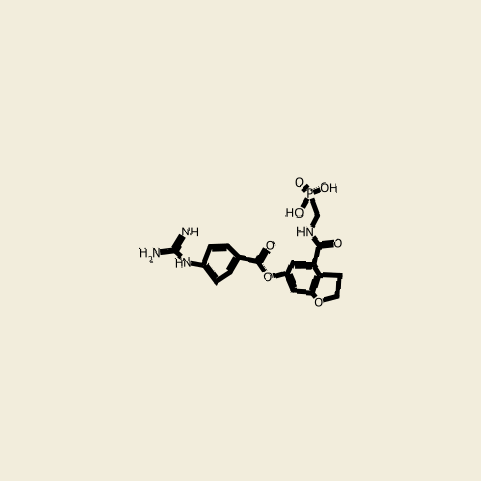 N=C(N)Nc1ccc(C(=O)Oc2cc3c(c(C(=O)NCP(=O)(O)O)c2)CCO3)cc1